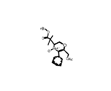 CCCCOC(=O)C(C)(C)C1COC(COC(C)=O)=C(c2ccccc2)[NH+]1[O-]